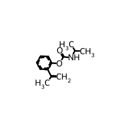 C=C(C)c1ccccc1OC(=O)NC(C)C